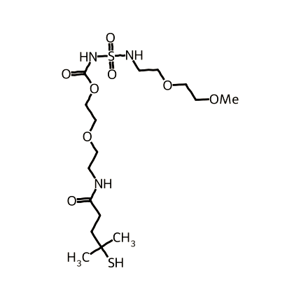 COCCOCCNS(=O)(=O)NC(=O)OCCOCCNC(=O)CCC(C)(C)S